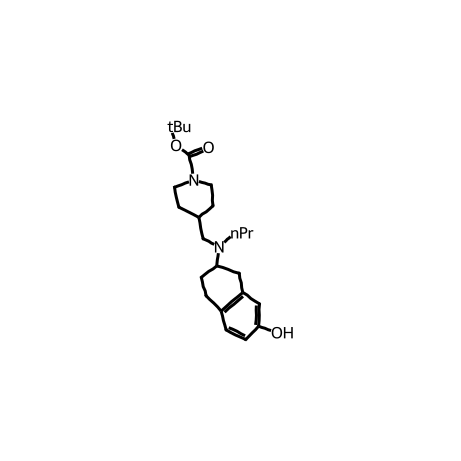 CCCN(CC1CCN(C(=O)OC(C)(C)C)CC1)C1CCc2ccc(O)cc2C1